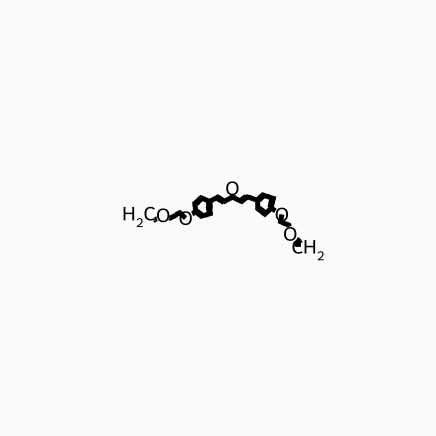 C=COCCOc1ccc(C=CC(=O)C=Cc2ccc(OCCOC=C)cc2)cc1